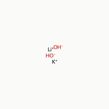 [K+].[Li+].[OH-].[OH-]